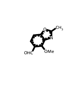 COc1c(C=O)ccc2oc(C)nc12